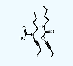 CCCCN(C#CCI)C(=O)O.CCCCNC(=O)OC#CCI